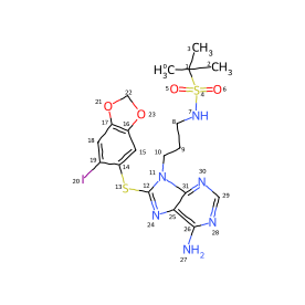 CC(C)(C)S(=O)(=O)NCCCn1c(Sc2cc3c(cc2I)OCO3)nc2c(N)ncnc21